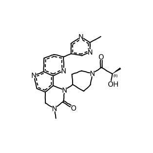 Cc1ncc(-c2ccc3ncc4c(c3n2)N(C2CCN(C(=O)[C@@H](C)O)CC2)C(=O)N(C)C4)cn1